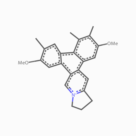 COc1cc2c3c[n+]4c(cc3c3cc(OC)c(C)c(C)c3c2cc1C)CCC4